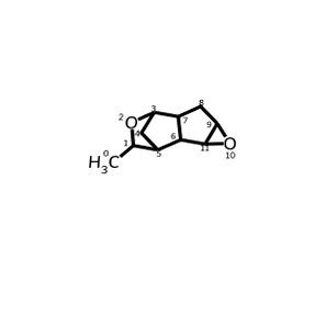 CC1OC2CC1C1C2CC2OC21